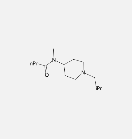 CCCC(=O)N(C)C1CCN(CC(C)C)CC1